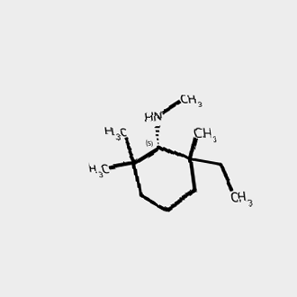 CCC1(C)CCCC(C)(C)[C@@H]1NC